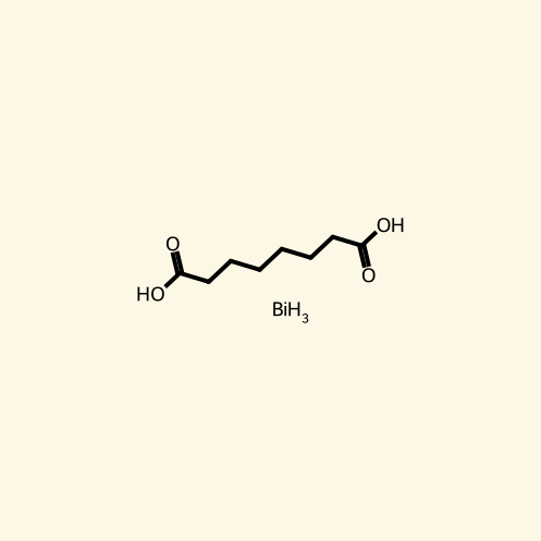 O=C(O)CCCCCCC(=O)O.[BiH3]